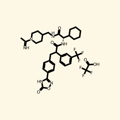 CC(=N)N1CCC(CNC(=O)[C@@H](NC(=O)C(Cc2ccc(-c3noc(=O)[nH]3)cc2)c2cccc(C(F)(F)F)c2)C2CCCCC2)CC1.O=C(O)C(F)(F)F